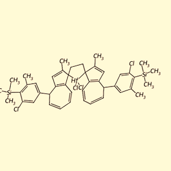 CC1=CC2=C(C=CC=CC2c2cc(C)c([Si](C)(C)C)c(Cl)c2)[C]12CC[C]1(C(C)=CC3=C1C=CC=CC3c1cc(C)c([Si](C)(C)C)c(Cl)c1)[Hf]2([Cl])[Cl]